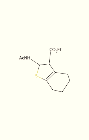 CCOC(=O)C1C2=C(CCCC2)SC1NC(C)=O